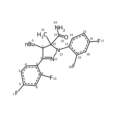 CCCCC1C(c2ccc(F)cc2F)=NN(c2ccc(F)cc2F)C1(C)C(N)=O